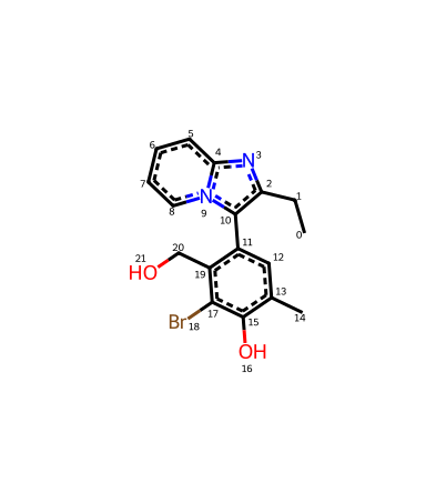 CCc1nc2ccccn2c1-c1cc(C)c(O)c(Br)c1CO